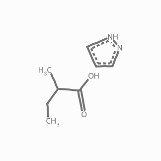 CCC(C)C(=O)O.c1cn[nH]c1